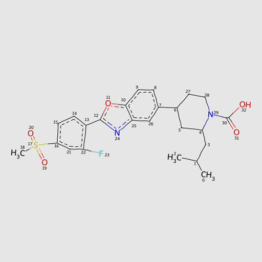 CC(C)CC1CC(c2ccc3oc(-c4ccc(S(C)(=O)=O)cc4F)nc3c2)CCN1C(=O)O